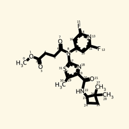 COC(=O)CCC(=O)N(c1cc(F)nc(F)c1)c1nc(C(=O)NC2CCC2(C)C)c(C)s1